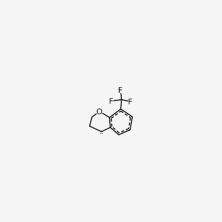 FC(F)(F)c1cccc2c1OCC[C]2